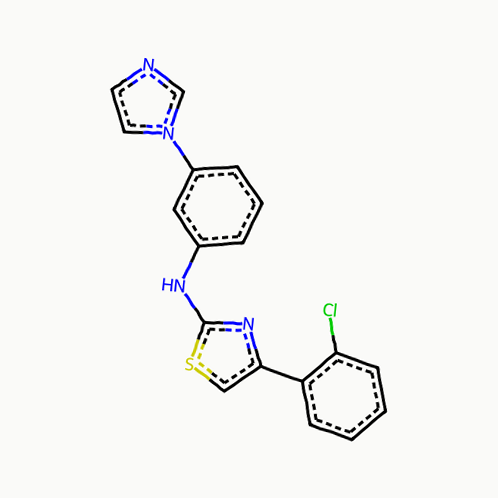 Clc1ccccc1-c1csc(Nc2cccc(-n3ccnc3)c2)n1